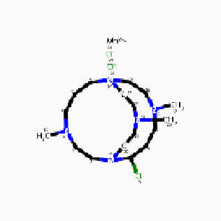 CN1CCC(Cl)N2CCN(C)CCCN(CC1)CCN(C)CC2.[Cl-].[Cl-].[Mn+2]